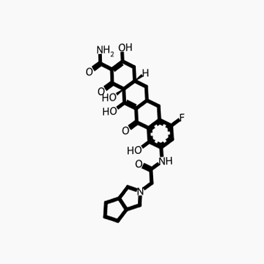 NC(=O)C1=C(O)C[C@@H]2CC3Cc4c(F)cc(NC(=O)CN5CC6CCCC6C5)c(O)c4C(=O)C3=C(O)[C@]2(O)C1=O